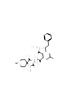 CC(C)C[C@@H](C(=O)NN1C(=O)NC2(CCN(C)CC2)C1=O)[C@H](CCCc1ccccc1)C(=O)NO